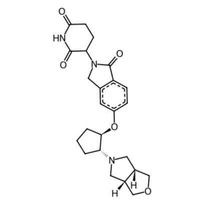 O=C1CCC(N2Cc3cc(O[C@@H]4CCC[C@H]4N4C[C@H]5COC[C@H]5C4)ccc3C2=O)C(=O)N1